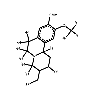 [2H]C([2H])([2H])Oc1cc2c(cc1OC)C([2H])([2H])C([2H])([2H])N1C2([2H])CC(O)C(CC(C)C)C1([2H])[2H]